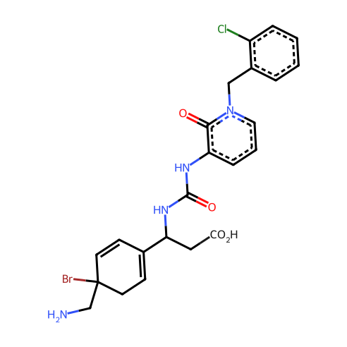 NCC1(Br)C=CC(C(CC(=O)O)NC(=O)Nc2cccn(Cc3ccccc3Cl)c2=O)=CC1